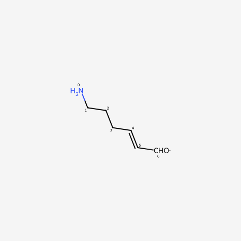 NCCCC=C[C]=O